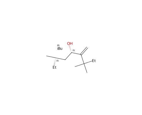 C=C([C@@H](O)C[C@](C)(CC)[C@H](C)CC)C(C)(C)CC